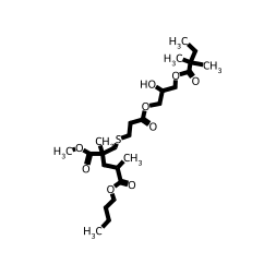 CCCCOC(=O)C(C)CC(C)(CSCCC(=O)OCC(O)COC(=O)C(C)(C)CC)C(=O)OC